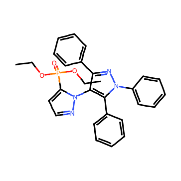 CCOP(=O)(OCC)c1ccnn1-c1c(-c2ccccc2)nn(-c2ccccc2)c1-c1ccccc1